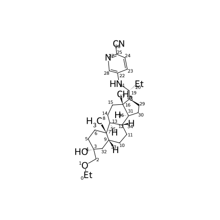 CCOC[C@@]1(O)CC[C@@]2(C)[C@H](CC[C@@H]3[C@@H]2CC[C@]2(C)[C@@H]([C@@H](CC)Nc4ccc(C#N)nc4)CC[C@@H]32)C1